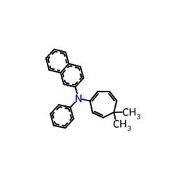 CC1(C)C=CC=C(N(c2ccccc2)c2ccc3ccccc3c2)C=C1